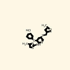 Cc1csc(Nc2ncc(SCc3cc(C)on3)cc2Oc2ccccc2)n1.Cl